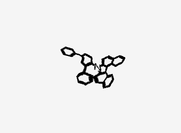 c1ccc(-c2ccc(-n3c4ccc5ccccc5c4c4c5ccccc5ccc43)c(-c3ccccc3)c2)cc1